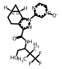 CC(C)(C(CO)NC(=O)c1nn(-c2c[n+]([O-])ccn2)c2c1CC[C@@H]1C[C@H]21)C(F)(F)F